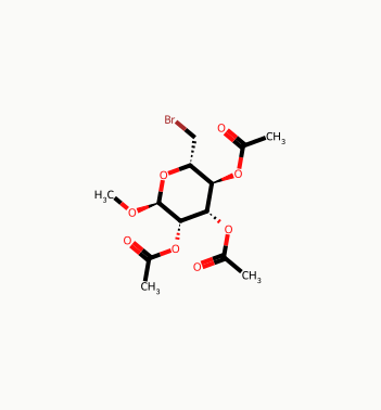 CO[C@H]1O[C@H](CBr)[C@@H](OC(C)=O)[C@H](OC(C)=O)[C@@H]1OC(C)=O